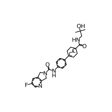 CC(C)(O)CNC(=O)C12CCC(c3ccc(NC(=O)N4Cc5cc(F)cnc5C4)cc3)(CC1)CC2